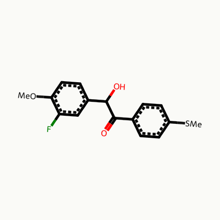 COc1ccc(C(O)C(=O)c2ccc(SC)cc2)cc1F